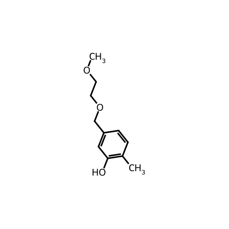 COCCOCc1ccc(C)c(O)c1